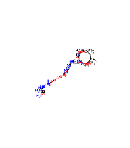 CO[C@H]1C[C@@H]2CC[C@@H](C)[C@@](O)(O2)C(=O)C(=O)N2CCCC[C@H]2C(=O)O[C@H]([C@H](N)C[C@@H]2CC[C@H](n3cc(-c4cnc(N5CCN(c6ncc(C(=O)NCCOCCOCCOCCOCCC(=O)NCCCCn7nc(-c8ccc9oc(N)nc9c8)c8c(N)ncnc87)cn6)CC5)nc4)nn3)[C@H](OC)C2)CC(=O)[C@H](C)/C=C(\C)[C@@H](O)[C@@H](O)C(=O)[C@H](C)C[C@H](C)/C=C/C=C/C=C/1C